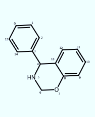 c1ccc(C2NCOc3ccccc32)cc1